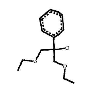 CCOCC(Cl)(COCC)c1ccccc1